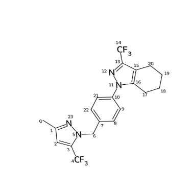 Cc1cc(C(F)(F)F)n(Cc2ccc(-n3nc(C(F)(F)F)c4c3CCCC4)cc2)n1